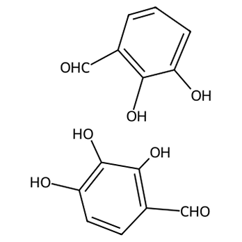 O=Cc1ccc(O)c(O)c1O.O=Cc1cccc(O)c1O